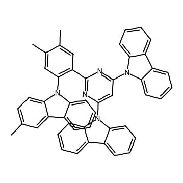 Cc1ccc2c(c1)c1ccccc1n2-c1cc(C)c(C)cc1-c1nc(-n2c3ccccc3c3ccccc32)cc(-n2c3ccccc3c3ccccc32)n1